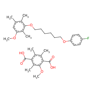 COc1c(C)c(C(=O)O)c(C)c(C)c1C(=O)O.COc1cc(C)c(C)c(OCCCCCCOc2ccc(F)cc2)c1C